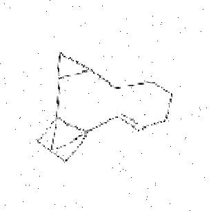 C1=C2C(CCC1)C1CC1C13CCC21C3